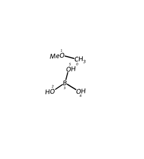 COC.OB(O)O